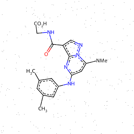 CNc1cc(Nc2cc(C)cc(C)c2)nc2c(C(=O)NCC(=O)O)cnn12